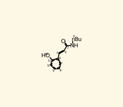 CCCCNC(=O)C=Cc1ccccc1O